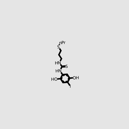 CCCSCCCNC(=S)Nc1cc(O)c(I)cc1O